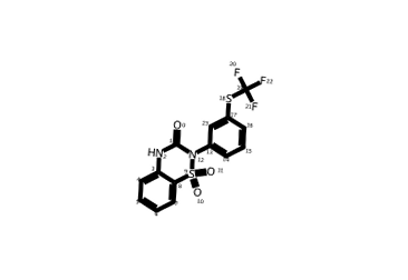 O=C1Nc2ccccc2S(=O)(=O)N1c1cccc(SC(F)(F)F)c1